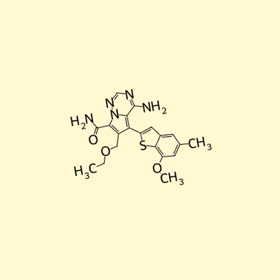 CCOCc1c(-c2cc3cc(C)cc(OC)c3s2)c2c(N)ncnn2c1C(N)=O